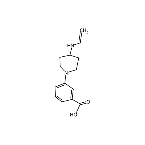 C=CNC1CCN(c2cccc(C(=O)O)c2)CC1